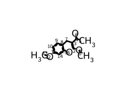 COC1=C(C(C)=O)Cc2ccc(OC)cc2O1